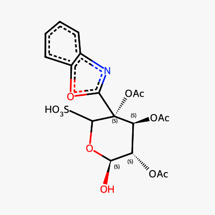 CC(=O)O[C@@H]1[C@@H](O)OC(S(=O)(=O)O)[C@@](OC(C)=O)(c2nc3ccccc3o2)[C@H]1OC(C)=O